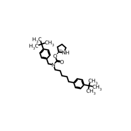 CC(C)(C)c1ccc(CCCCCN(Cc2ccc(C(C)(C)C)cc2)C(=O)O[C@H]2CCCN2)cc1